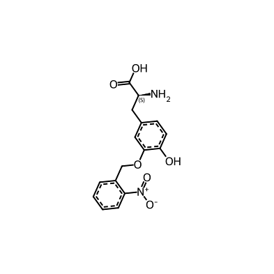 N[C@@H](Cc1ccc(O)c(OCc2ccccc2[N+](=O)[O-])c1)C(=O)O